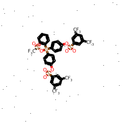 O=S(=O)(Oc1ccc(S(OS(=O)(=O)C(F)(F)F)(c2ccccc2)c2ccc(OS(=O)(=O)c3cc(C(F)(F)F)cc(C(F)(F)F)c3)cc2)cc1)c1cc(C(F)(F)F)cc(C(F)(F)F)c1